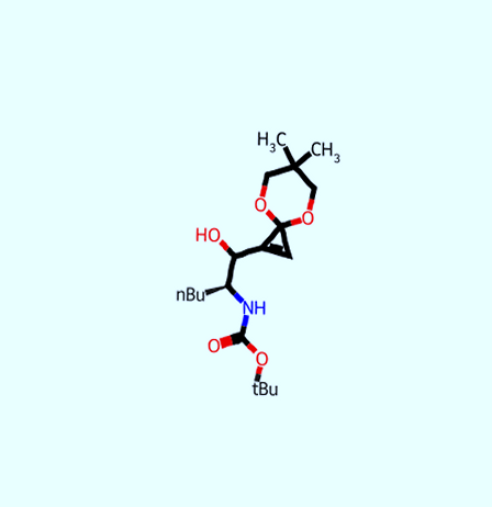 CCCC[C@H](NC(=O)OC(C)(C)C)C(O)C1=CC12OCC(C)(C)CO2